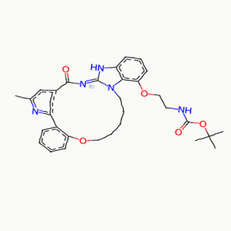 Cc1cc2cc(n1)-c1ccccc1OCCCCCN1/C(=N/C2=O)Nc2cccc(OCCNC(=O)OC(C)(C)C)c21